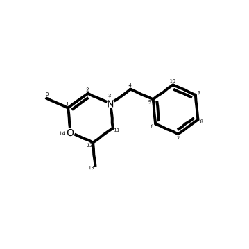 CC1=CN(Cc2ccccc2)CC(C)O1